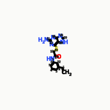 C=Cc1cccc(NC(=O)CSc2nc(N)nc3nc[nH]c23)c1